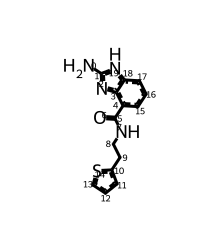 Nc1nc2c(C(=O)NCCc3cccs3)cccc2[nH]1